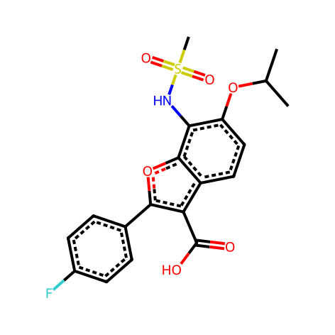 CC(C)Oc1ccc2c(C(=O)O)c(-c3ccc(F)cc3)oc2c1NS(C)(=O)=O